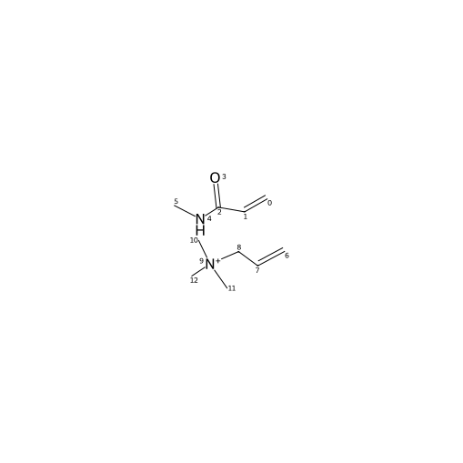 C=CC(=O)NC.C=CC[N+](C)(C)C